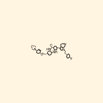 O=C1Nc2cc(CCOc3ccc(N4CCOCC4)cc3)ccc2Nc2cc(-c3cn(CCc4ccc(F)cc4)c4cnccc34)ccc21